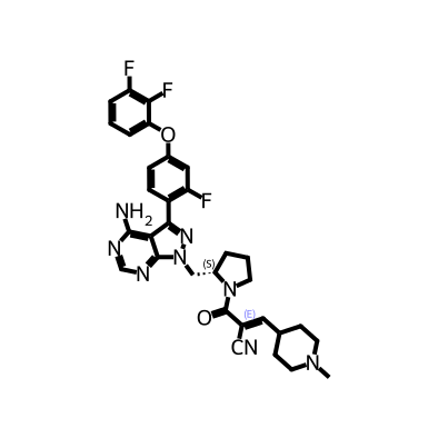 CN1CCC(/C=C(\C#N)C(=O)N2CCC[C@H]2Cn2nc(-c3ccc(Oc4cccc(F)c4F)cc3F)c3c(N)ncnc32)CC1